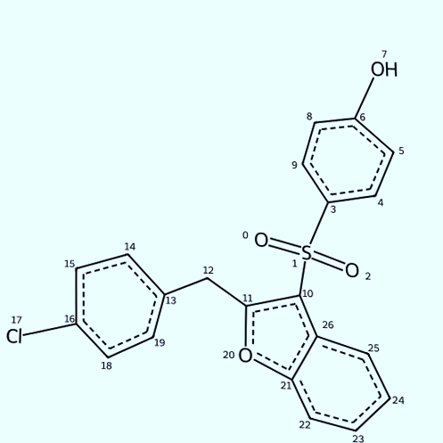 O=S(=O)(c1ccc(O)cc1)c1c(Cc2ccc(Cl)cc2)oc2ccccc12